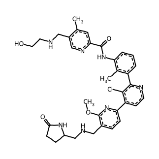 COc1nc(-c2ccnc(-c3cccc(NC(=O)c4cc(C)c(CNCCO)cn4)c3C)c2Cl)ccc1CNCC1CCC(=O)N1